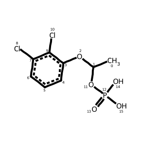 CC(Oc1cccc(Cl)c1Cl)OP(=O)(O)O